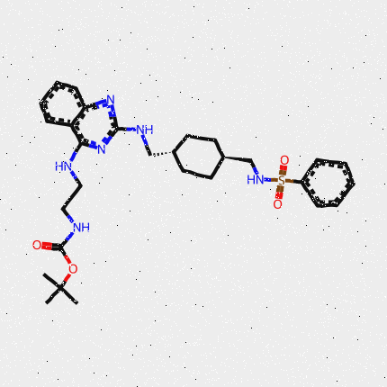 CC(C)(C)OC(=O)NCCNc1nc(NC[C@H]2CC[C@H](CNS(=O)(=O)c3ccccc3)CC2)nc2ccccc12